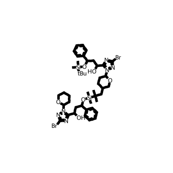 CC(C)(C)[Si](C)(C)OC(CC(O)c1nc(Br)nn1C1CCC(CC(C)(C)[Si](C)(C)OC(CC(O)c2nc(Br)nn2C2CCCCO2)c2ccccc2)CO1)c1ccccc1